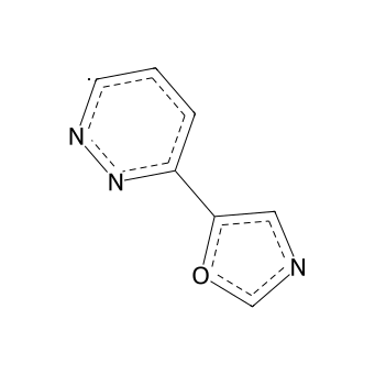 [c]1ccc(-c2cnco2)nn1